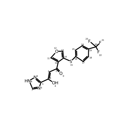 O=C(C=C(O)c1nc[nH]n1)c1cocc1Sc1ccc(C(F)(F)F)cc1